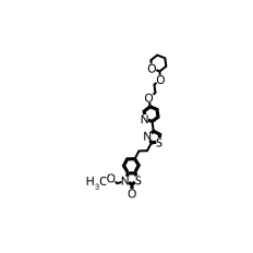 COCn1c(=O)sc2cc(CCc3nc(-c4ccc(OCCOC5CCCCO5)cn4)cs3)ccc21